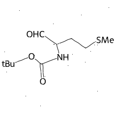 CSCC[C](C=O)NC(=O)OC(C)(C)C